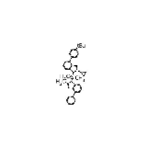 CC1=Cc2c(-c3ccccc3)cccc2C1S(C)(C)C1C(C2CC2)=Cc2c(-c3ccc(C(C)(C)C)cc3)cccc21